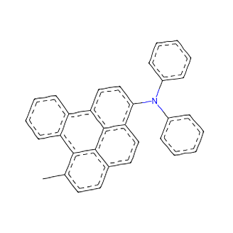 Cc1ccc2ccc3c(N(c4ccccc4)c4ccccc4)ccc4c5ccccc5c1c2c34